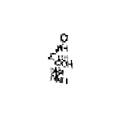 CNc1ncnc2c1ccn2[C@@H]1C[C@H](C2C[C@@H]2CCCNCCc2ccccc2)[C@@H](O)[C@H]1O